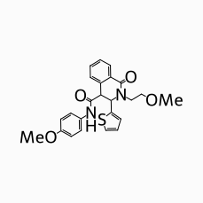 COCCN1C(=O)c2ccccc2C(C(=O)Nc2ccc(OC)cc2)C1c1cccs1